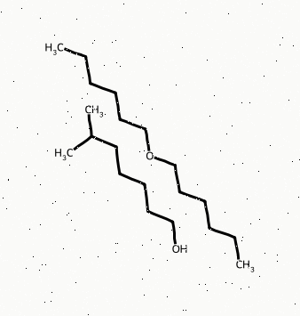 CC(C)CCCCCO.CCCCCCOCCCCCC